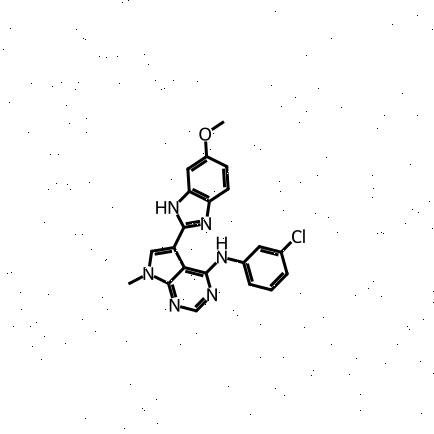 COc1ccc2nc(-c3cn(C)c4ncnc(Nc5cccc(Cl)c5)c34)[nH]c2c1